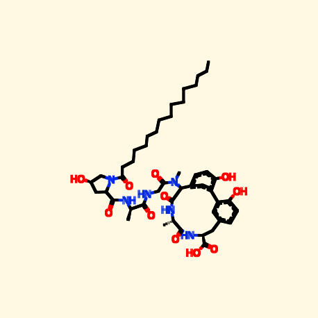 CCCCCCCCCCCCCCCC(=O)N1C[C@H](O)CC1C(=O)N[C@H](C)C(=O)NCC(=O)N(C)[C@@H]1C(=O)N[C@@H](C)C(=O)N[C@H](C(=O)O)Cc2ccc(O)c(c2)-c2cc1ccc2O